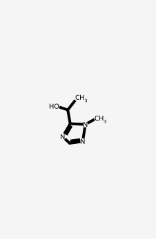 CC(O)c1ncnn1C